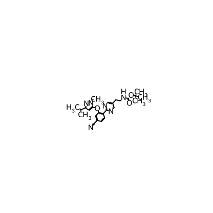 CC(C)c1cc(Oc2cc(C#N)ccc2-c2ncc(CCNC(=O)OC(C)(C)C)cn2)n(C)n1